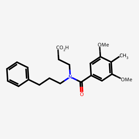 COc1cc(C(=O)N(CCCc2ccccc2)CCC(=O)O)cc(OC)c1C